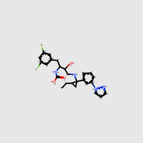 CCC1CC1(NCC(O)C(Cc1cc(F)cc(F)c1)NC(=O)O)c1cccc(-n2cccn2)c1